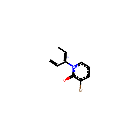 C=C/C(=C\C)n1cccc(Br)c1=O